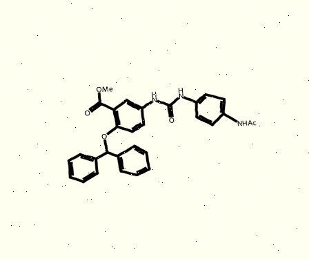 COC(=O)c1cc(NC(=O)Nc2ccc(NC(C)=O)cc2)ccc1OC(c1ccccc1)c1ccccc1